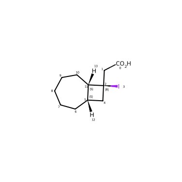 O=C(O)C[C@]1(I)C[C@@H]2CCCCC[C@@H]21